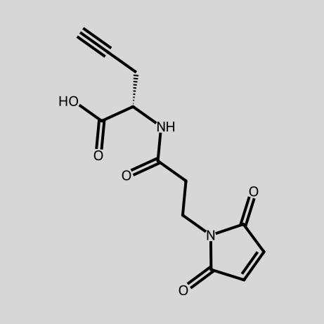 C#CC[C@H](NC(=O)CCN1C(=O)C=CC1=O)C(=O)O